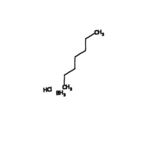 B.CCCCCCC.Cl